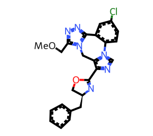 COCc1nnc2n1Cc1c(C3=N[C@@H](Cc4ccccc4)CO3)ncn1-c1ccc(Cl)cc1-2